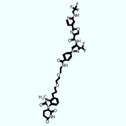 Cn1c(=O)n(C2CCC(=O)NC2=O)c2cccc(CCCOCCOCCNC(=O)c3ccc(-n4cc(NC(=O)c5coc(-c6ccnc(NCC(F)(F)F)c6)n5)c(C(F)F)n4)cc3)c21